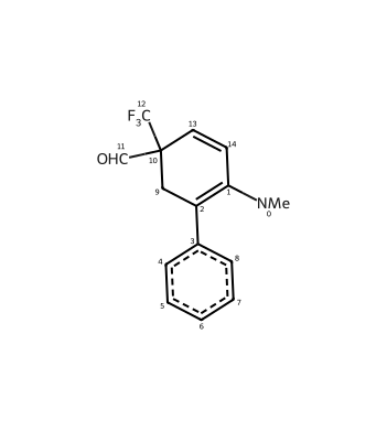 CNC1=C(c2ccccc2)CC(C=O)(C(F)(F)F)C=C1